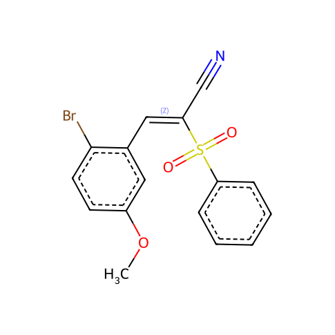 COc1ccc(Br)c(/C=C(/C#N)S(=O)(=O)c2ccccc2)c1